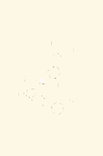 C=Cc1[nH]nc(NC(=O)c2cccc(OC)c2)c1/C=C(\C)c1c(F)cc(CNC(C)C)cc1F